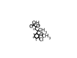 COc1c(Cl)cccc1C(C)CC(=O)C(=O)O